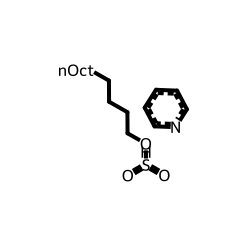 CCCCCCCCCCCCO[SH](=O)=O.c1ccncc1